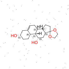 C[C@]12CC[C@H](O)CC1=CC[C@@H]1[C@@H]2[C@@H](O)C[C@@]2(C)[C@H]1CCC21OCCO1